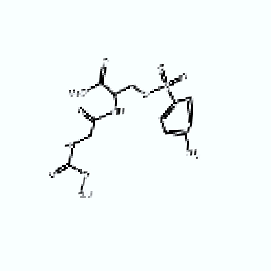 COC(=O)C(COS(=O)(=O)c1ccc(C)cc1)NC(=O)CNC(=O)OC(C)(C)C